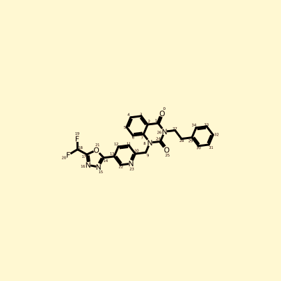 O=c1c2ccccc2n(Cc2ccc(-c3nnc(C(F)F)o3)cn2)c(=O)n1CCc1ccccc1